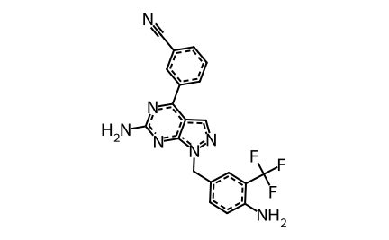 N#Cc1cccc(-c2nc(N)nc3c2cnn3Cc2ccc(N)c(C(F)(F)F)c2)c1